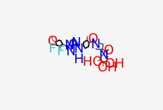 COc1ccc(-c2cnc3c(Nc4ccc(C(=O)N5CCC(C(=O)N6CC(O)C(O)C(O)C6)CC5)c(C)c4)nccn23)c(F)c1F